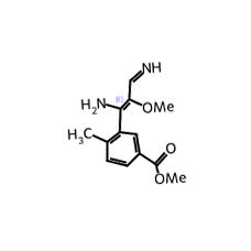 COC(=O)c1ccc(C)c(/C(N)=C(/C=N)OC)c1